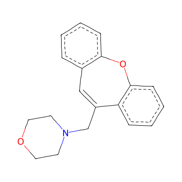 C1=C(CN2CCOCC2)c2ccccc2Oc2ccccc21